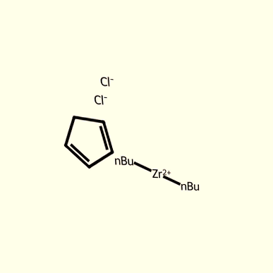 C1=CCC=C1.CCC[CH2][Zr+2][CH2]CCC.[Cl-].[Cl-]